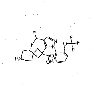 O=C(O)C1(c2c(C(F)F)cnn2-c2ccccc2OC(F)(F)F)CC2(CCNCC2)C1